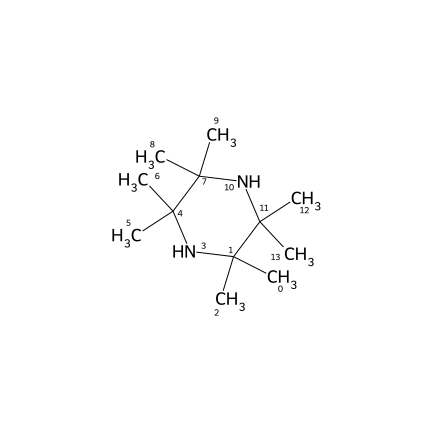 CC1(C)NC(C)(C)C(C)(C)NC1(C)C